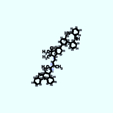 CCc1c(/C=C(C)/C(C)=C/C=C2/C3=C(C=C(c4ccc5c(c4)-c4ccccc4Nc4ccccc4NC5)CC3)C(C)(C)C2C)c2ccccc2n2c1nc1ccccc12